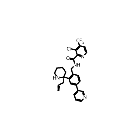 C=CC[C@]1(c2cc(-c3cccnc3)ccc2CNC(=O)c2nccc(C(F)(F)F)c2Cl)CCCCN1